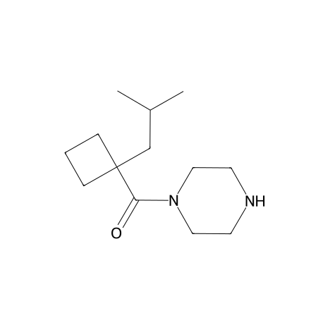 CC(C)CC1(C(=O)N2CCNCC2)CCC1